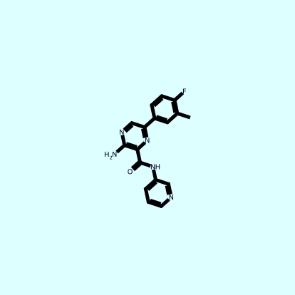 Cc1cc(-c2cnc(N)c(C(=O)Nc3cccnc3)n2)ccc1F